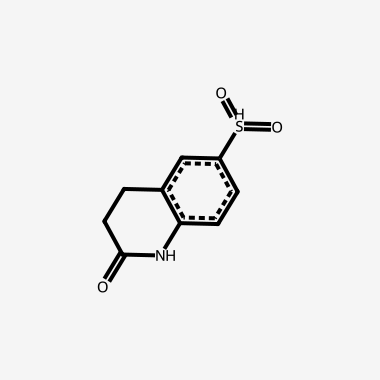 O=C1CCc2cc([SH](=O)=O)ccc2N1